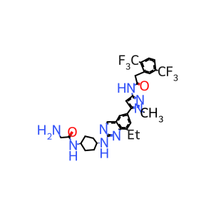 CCc1cc(-c2cc(NC(=O)Cc3cc(C(F)(F)F)ccc3C(F)(F)F)nn2C)cc2cnc(N[C@H]3CC[C@H](NC(=O)CN)CC3)nc12